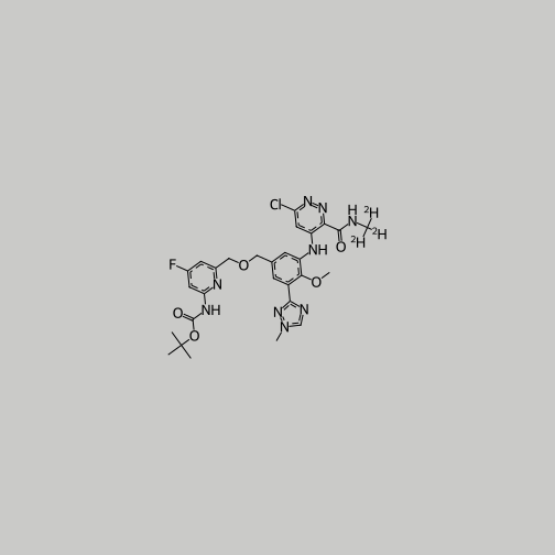 [2H]C([2H])([2H])NC(=O)c1nnc(Cl)cc1Nc1cc(COCc2cc(F)cc(NC(=O)OC(C)(C)C)n2)cc(-c2ncn(C)n2)c1OC